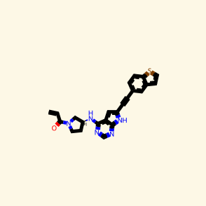 C=CC(=O)N1CC[C@@H](Nc2ncnc3[nH]c(C#Cc4ccc5sccc5c4)cc23)C1